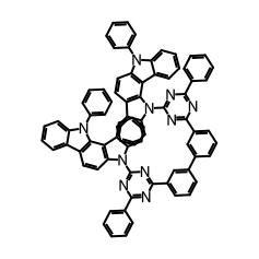 c1ccc(-c2nc(-c3cccc(-c4cccc(-c5nc(-c6ccccc6)nc(-n6c7ccccc7c7ccc8c(c9ccccc9n8-c8ccccc8)c76)n5)c4)c3)nc(-n3c4ccccc4c4c3ccc3c5ccccc5n(-c5ccccc5)c34)n2)cc1